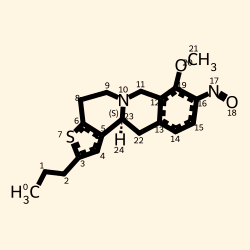 CCCc1cc2c(s1)CCN1Cc3c(ccc(N=O)c3OC)C[C@@H]21